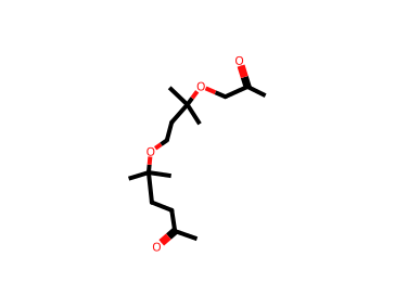 CC(=O)CCC(C)(C)OCCC(C)(C)OCC(C)=O